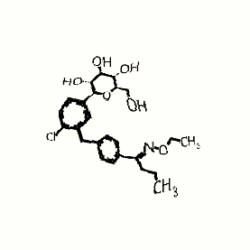 CCCC(=NOCC)c1ccc(Cc2cc([C@@H]3O[C@H](CO)[C@@H](O)[C@H](O)[C@H]3O)ccc2Cl)cc1